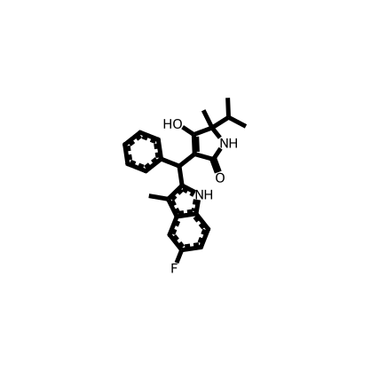 Cc1c(C(C2=C(O)C(C)(C(C)C)NC2=O)c2ccccc2)[nH]c2ccc(F)cc12